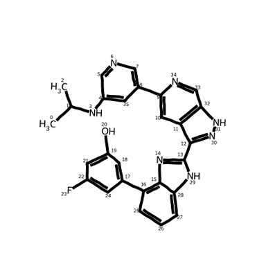 CC(C)Nc1cncc(-c2cc3c(-c4nc5c(-c6cc(O)cc(F)c6)cccc5[nH]4)n[nH]c3cn2)c1